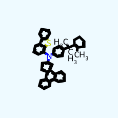 CC1=C(C(C)(C)c2ccc(N(c3ccc4c5ccccc5c5ccccc5c4c3)c3cccc4c3sc3ccccc34)cc2)CCC=C1